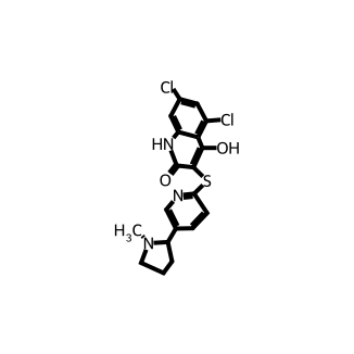 CN1CCCC1c1ccc(Sc2c(O)c3c(Cl)cc(Cl)cc3[nH]c2=O)nc1